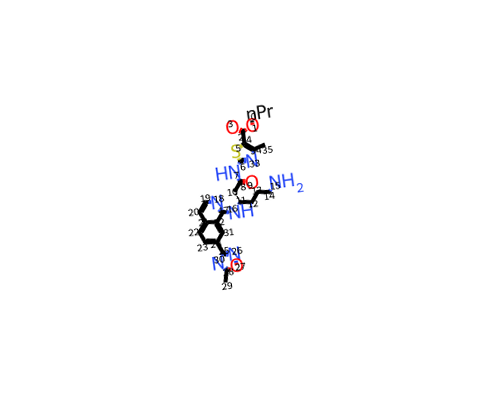 CCCOC(=O)c1sc(NC(=O)C[C@H](CCCN)Nc2nccc3ccc(-c4noc(C)n4)cc23)nc1C